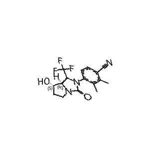 Cc1c(C#N)ccc(N2C(=O)N3CC[C@H](O)[C@H]3C2C(F)(F)F)c1C